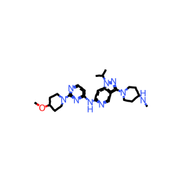 CNC1CCN(c2nn(C(C)C)c3cc(Nc4ccnc(N5CCC(OC)CC5)n4)ncc23)CC1